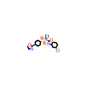 CCN(c1nc2cc(Cl)ccc2o1)S(=O)(=O)c1ccc(-c2ncco2)cc1